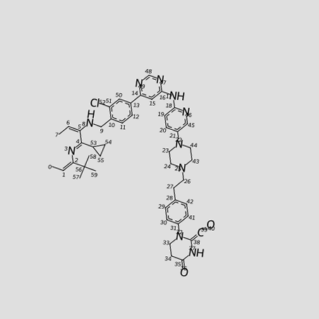 C\C=C(/N=C(/C(=C\C)NCc1ccc(-c2cc(Nc3ccc(N4CCN(CCc5ccc(N6CCC(=O)NC6=C=O)cc5)CC4)cn3)ncn2)cc1Cl)C1CC1)C(C)(C)C